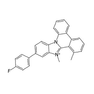 Cc1cccc2c3ccccc3n3c4ccc(-c5ccc(F)cc5)cc4[n+](C)c3c12